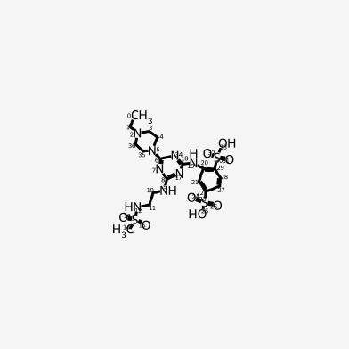 CCN1CCN(c2nc(NCCNS(C)(=O)=O)nc(Nc3cc(S(=O)(=O)O)ccc3S(=O)(=O)O)n2)CC1